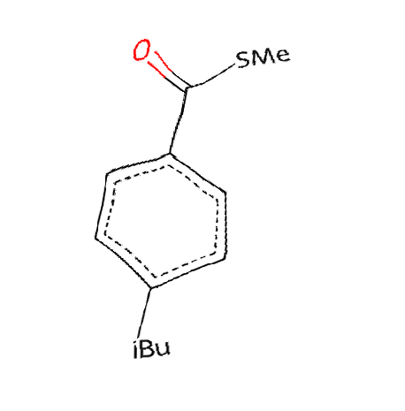 CCC(C)c1ccc(C(=O)SC)cc1